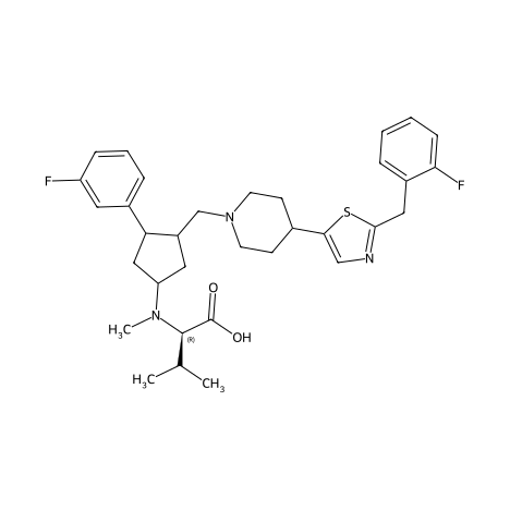 CC(C)[C@H](C(=O)O)N(C)C1CC(CN2CCC(c3cnc(Cc4ccccc4F)s3)CC2)C(c2cccc(F)c2)C1